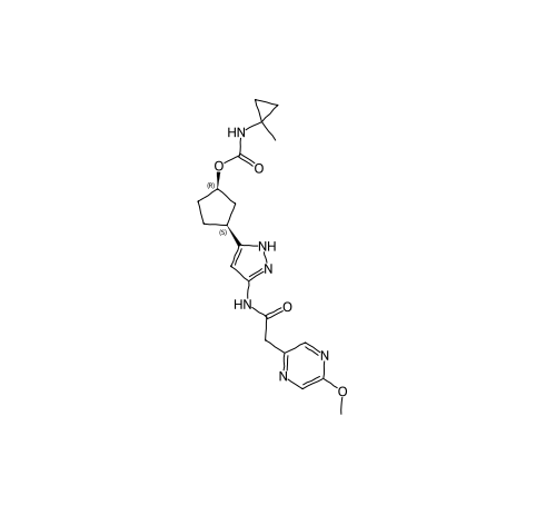 COc1cnc(CC(=O)Nc2cc([C@H]3CC[C@@H](OC(=O)NC4(C)CC4)C3)[nH]n2)cn1